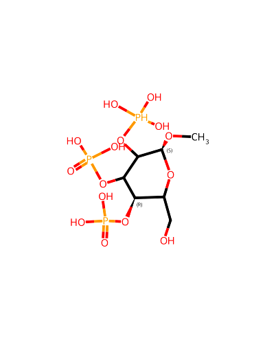 CO[C@H]1OC(CO)[C@@H](OP(=O)(O)O)C(OP(=O)(O)O)C1O[PH](O)(O)O